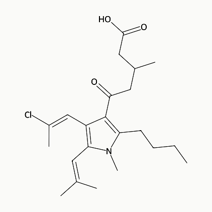 CCCCc1c(C(=O)CC(C)CC(=O)O)c(/C=C(\C)Cl)c(C=C(C)C)n1C